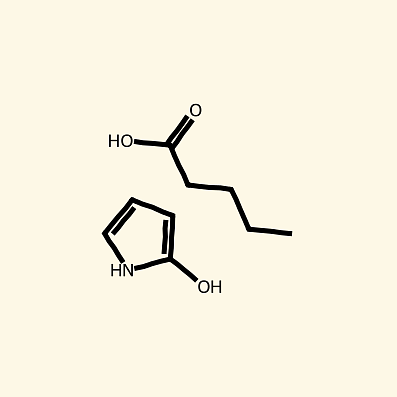 CCCCC(=O)O.Oc1ccc[nH]1